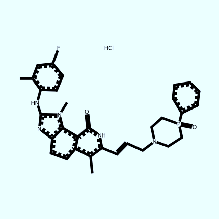 Cc1cc(F)ccc1Nc1nc2ccc3c(C)c(C=CCN4CCP(=O)(c5ccccc5)CC4)[nH]c(=O)c3c2n1C.Cl